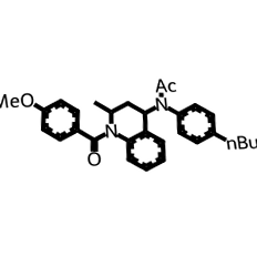 CCCCc1ccc(N(C(C)=O)C2CC(C)N(C(=O)c3ccc(OC)cc3)c3ccccc32)cc1